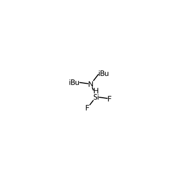 CCC(C)N(C(C)CC)[SiH](F)F